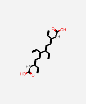 C=C\C(BC(=O)O)=C/C=C(C=C)/C(C=C)=C/C=C(/BC(=O)O)C=C